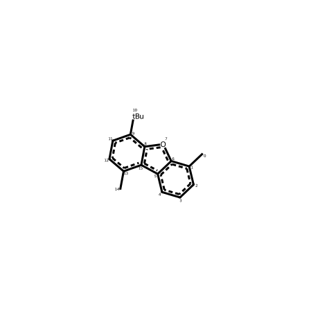 Cc1cccc2c1oc1c(C(C)(C)C)ccc(C)c12